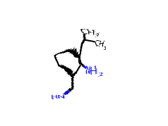 CC(C)C1=C(N)C(C=N)=CCC1